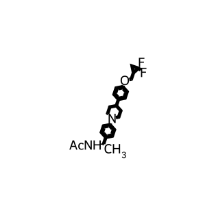 CC(=O)N[C@@H](C)c1ccc(N2CCC(c3ccc(OCC4CC4(F)F)cc3)CC2)cc1